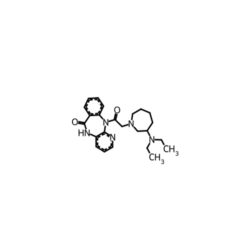 CCN(CC)C1CCCCN(CC(=O)N2c3ccccc3C(=O)Nc3cccnc32)C1